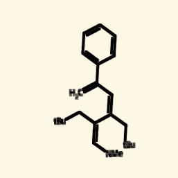 C=C(/C=C(CC(C)(C)C)\C(=C/NC)CC(C)(C)C)c1ccccc1